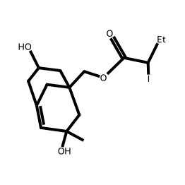 CCC(I)C(=O)OCC12CC(=CC(C)(O)C1)CC(O)C2